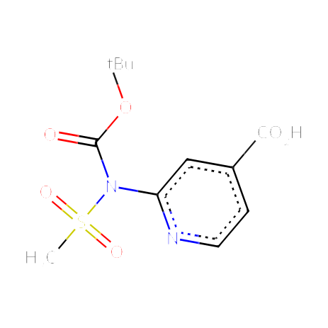 CC(C)(C)OC(=O)N(c1cc(C(=O)O)ccn1)S(C)(=O)=O